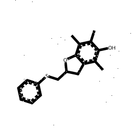 Cc1c(C)c2c(c(C)c1O)CC(CSc1ccccc1)O2